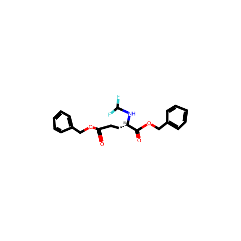 O=C(CC[C@H](NC(F)F)C(=O)OCc1ccccc1)OCc1ccccc1